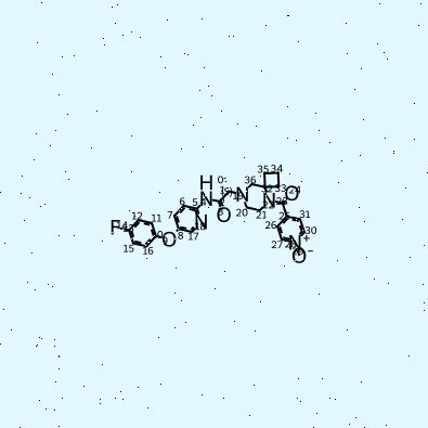 C[C@@H](C(=O)Nc1ccc(Oc2ccc(F)cc2)cn1)N1CCN(C(=O)c2cc[n+]([O-])cc2)C2(CCC2)C1